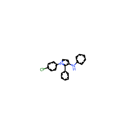 Clc1ccc(-n2ccc(Nc3ccccc3)c2-c2ccccc2)cc1